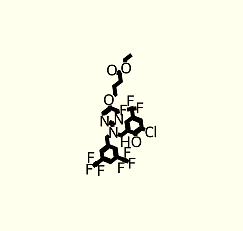 CCOC(=O)CCCOc1cnc(N(Cc2cc(C(F)(F)F)cc(C(F)(F)F)c2)Cc2cc(C(F)(F)F)cc(Cl)c2O)nc1